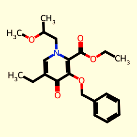 CCOC(=O)c1c(OCc2ccccc2)c(=O)c(CC)cn1CC(C)OC